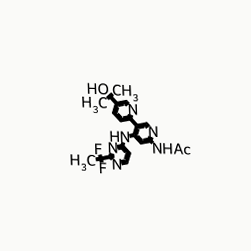 CC(=O)Nc1cc(Nc2ccnc(C(C)(F)F)n2)c(-c2ccc(C(C)(C)O)cn2)cn1